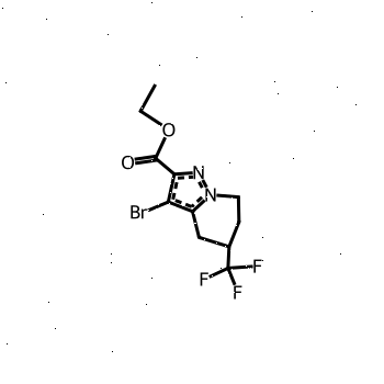 CCOC(=O)c1nn2c(c1Br)CC(C(F)(F)F)CC2